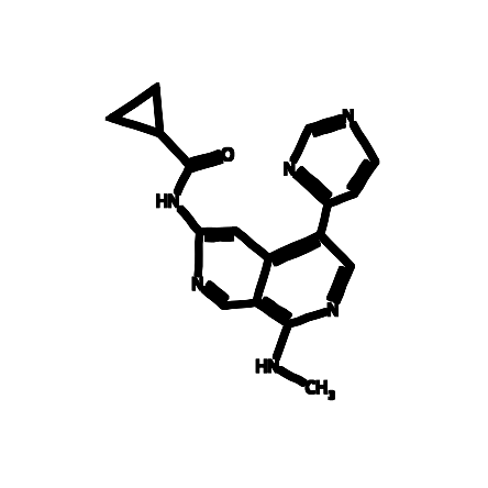 CNc1ncc(-c2ccncn2)c2cc(NC(=O)C3CC3)ncc12